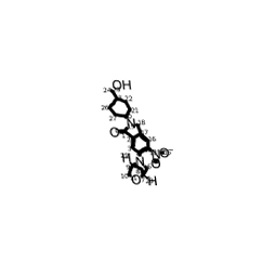 O=C1c2cc(N3C[C@H]4C[C@@H]3CO4)c([N+](=O)[O-])cc2CN1C1CCC(CO)CC1